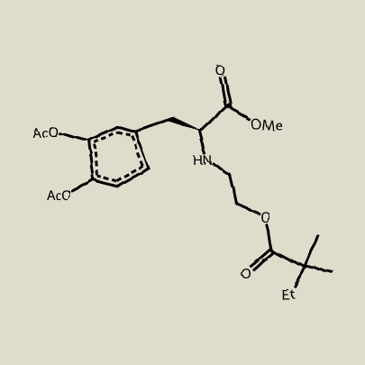 CCC(C)(C)C(=O)OCCN[C@@H](Cc1ccc(OC(C)=O)c(OC(C)=O)c1)C(=O)OC